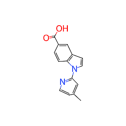 Cc1ccnc(-n2ccc3cc(C(=O)O)ccc32)c1